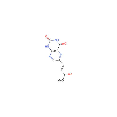 COC(=O)C=Cc1cnc2[nH]c(=O)[nH]c(=O)c2n1